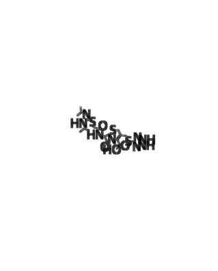 CC(C)/N=C(\NC(C)C)SCC(=O)NC1C(=O)N2C(C(=O)O)=C(CSC3=NNNN3C)CSC12